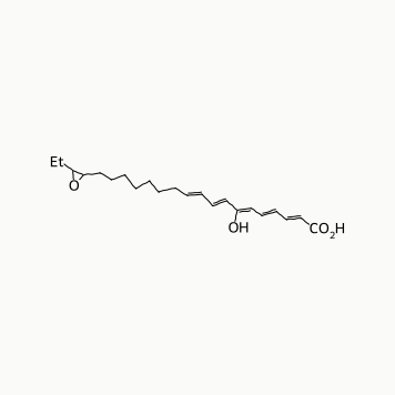 CCC1OC1CCCCCCCC=CC=CC(O)=CC=CC=CC(=O)O